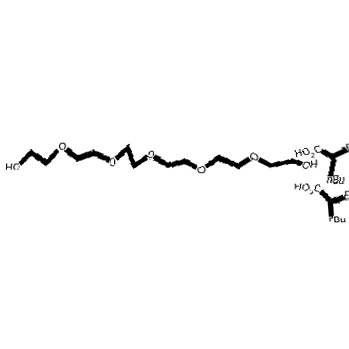 CCCCC(CC)C(=O)O.CCCCC(CC)C(=O)O.OCCOCCOCCOCCOCCOCCO